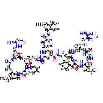 N=C(N)NCCC[C@@H]1NC(=O)CNC(=O)[C@@H](CC(=O)O)NC(=O)[C@@H](Cc2ccccc2)NC(=O)C(CCCCNC(=O)C(CCC(=O)NCCCC[C@H]2NC(=O)[C@H](CCCNC(=N)N)NC(=O)CNC(=O)[C@@H](CC(=O)O)NC(=O)[C@@H](Cc3ccccc3)NC2=O)NC(=O)c2ccc(NN=Cc3ccccc3S(=O)(=O)O)nc2)NC1=O